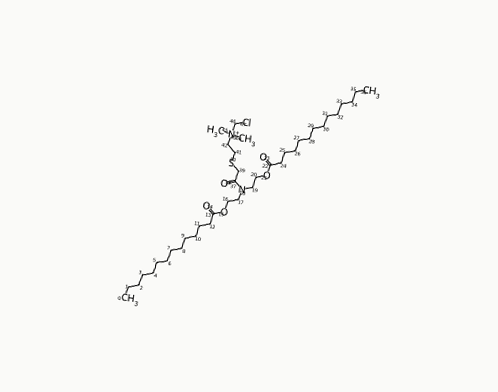 CCCCCCCCCCCCCC(=O)OCCN(CCOC(=O)CCCCCCCCCCCCC)C(=O)CSCC[N+](C)(C)CCl